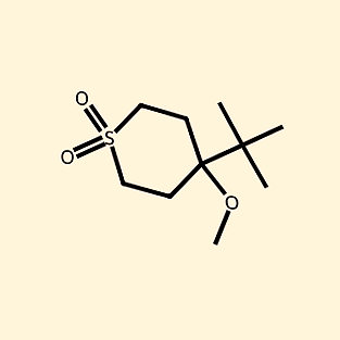 COC1(C(C)(C)C)CCS(=O)(=O)CC1